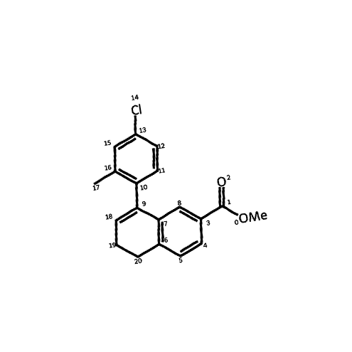 COC(=O)c1ccc2c(c1)C(c1ccc(Cl)cc1C)=CCC2